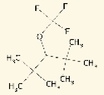 CC(C)(C)C(OC(F)(F)F)C(C)(C)C